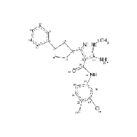 Cn1nc(C2CCC(c3ccccc3)C2)c(C(=O)Nc2ccc(F)c(Cl)c2)c1N